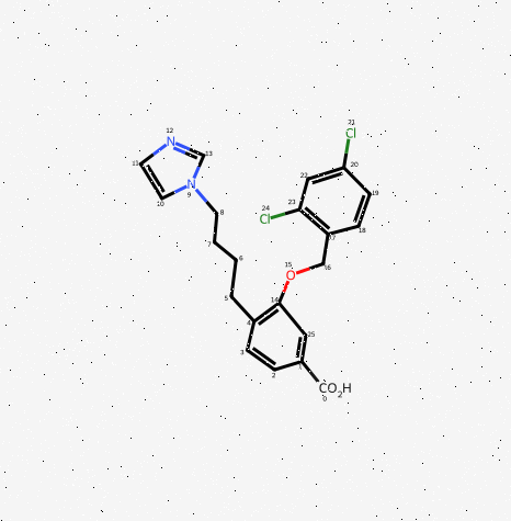 O=C(O)c1ccc(CCCCn2ccnc2)c(OCc2ccc(Cl)cc2Cl)c1